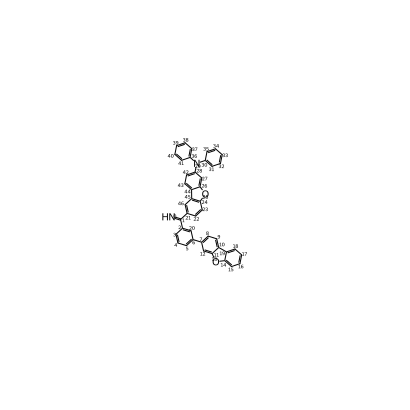 N=C(c1cccc(-c2ccc3c(c2)oc2ccccc23)c1)c1ccc2oc3cc(N(c4ccccc4)c4ccccc4)ccc3c2c1